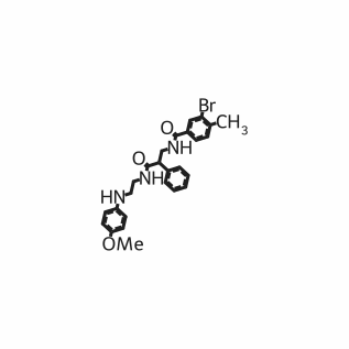 COc1ccc(NCCNC(=O)C(CNC(=O)c2ccc(C)c(Br)c2)c2ccccc2)cc1